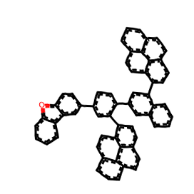 c1ccc2c(-c3ccc4ccc5cccc6ccc3c4c56)cc(-c3ccc(-c4ccc5oc6ccccc6c5c4)cc3-c3ccc4ccc5cccc6ccc3c4c56)cc2c1